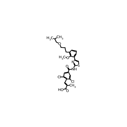 COc1c(CCCOCC(C)C)cccc1-c1csc(NC(=O)c2cc(Cl)c(/C=C(\C)C(=O)O)c(Cl)c2)n1